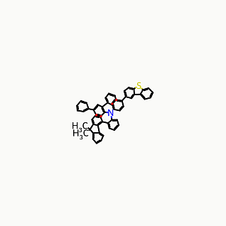 CC1(C)c2ccccc2-c2c(-c3ccccc3N(c3ccc(-c4ccc5sc6ccccc6c5c4)cc3)c3ccc(-c4ccccc4)cc3-c3ccccc3)cccc21